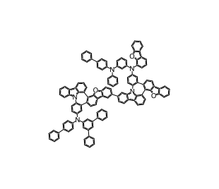 c1ccc(-c2ccc(N(c3ccccc3)c3cccc(N(c4ccc5c(c4)-c4ccc6c(oc7ccccc76)c4-c4cccc6c7ccc(-c8ccc9oc%10c%11c(ccc%10c9c8)-c8cc(N(c9ccc(-c%10ccccc%10)cc9)c9cc(-c%10ccccc%10)cc(-c%10ccccc%10)c9)ccc8-n8c9ccccc9c9cccc-%11c98)cc7n-5c46)c4cccc5c4oc4ccccc45)c3)cc2)cc1